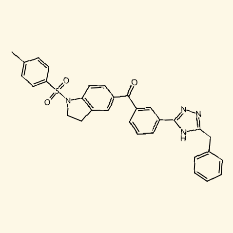 Cc1ccc(S(=O)(=O)N2CCc3cc(C(=O)c4cccc(-c5nnc(Cc6ccccc6)[nH]5)c4)ccc32)cc1